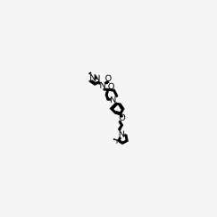 C[C@@H]1CCCN1CCCOc1ccc(N2CCC3(CC2)CN(c2ccn(C)n2)C(=O)O3)cc1